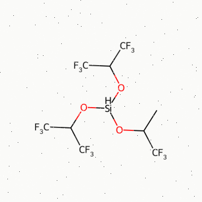 CC(O[SiH](OC(C(F)(F)F)C(F)(F)F)OC(C(F)(F)F)C(F)(F)F)C(F)(F)F